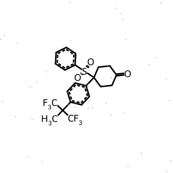 CC(c1ccc(C2(S(=O)(=O)c3ccccc3)CCC(=O)CC2)cc1)(C(F)(F)F)C(F)(F)F